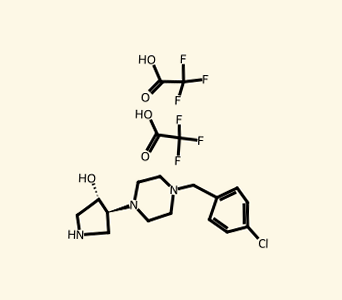 O=C(O)C(F)(F)F.O=C(O)C(F)(F)F.O[C@H]1CNC[C@@H]1N1CCN(Cc2ccc(Cl)cc2)CC1